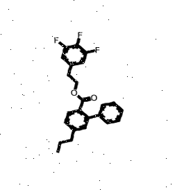 CCCc1ccc(C(=O)OCCc2cc(F)c(F)c(F)c2)c(-c2ccccc2)c1